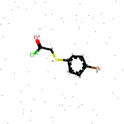 O=C(Cl)CSc1ccc(Br)cc1